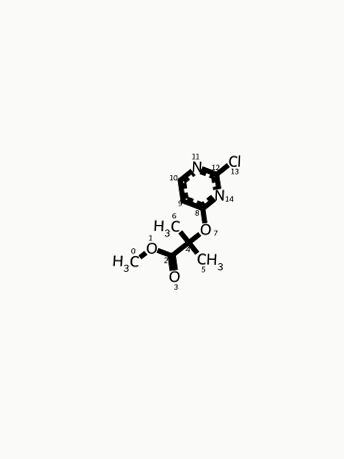 COC(=O)C(C)(C)Oc1ccnc(Cl)n1